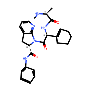 CN[C@@H](C)C(=O)N[C@H](C(=O)N1c2ncccc2C[C@H]1C(=O)Nc1ccccc1)C1=CCCCC1